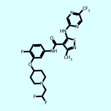 Cc1nsc(Nc2cnc(C(F)(F)F)cn2)c1C(=O)Nc1ccc(F)c(OC2CCN(CC(F)F)CC2)c1